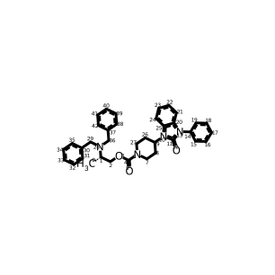 C[C@@H](COC(=O)N1CCC(n2c(=O)n(-c3ccccc3)c3ccccc32)CC1)N(Cc1ccccc1)Cc1ccccc1